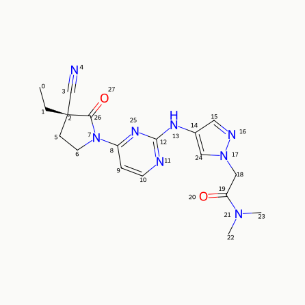 CC[C@]1(C#N)CCN(c2ccnc(Nc3cnn(CC(=O)N(C)C)c3)n2)C1=O